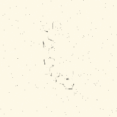 O=C[C@@H]1CCC[C@H]1C(=O)c1ccc(-c2ccc(Nc3nc4c(F)cc(F)cc4s3)cc2)cc1